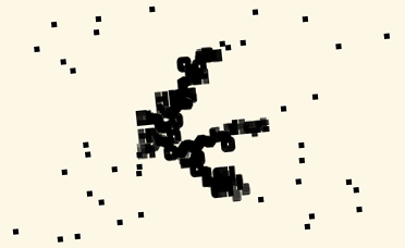 CCCCCCCC(=O)SCC/C=C/[C@H](CC(=O)OCC[Si](C)(C)C)OC(=O)[C@@H](NC(=O)C(CC)NC(=O)c1csc(CNC(=O)OC(C)(C)C)n1)C(C)C